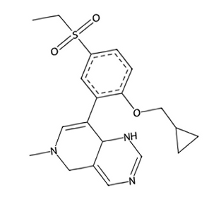 CCS(=O)(=O)c1ccc(OCC2CC2)c(C2=CN(C)CC3=CN=CNC32)c1